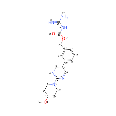 COC1CCN(c2ncc(-c3cccc(COC(=O)NC(=N)N)c3)cn2)CC1